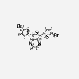 Brc1ccc(-c2sc(-c3ccc(Br)s3)c3nccnc23)s1